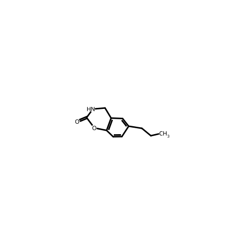 CCCc1ccc2c(c1)CNC(=O)O2